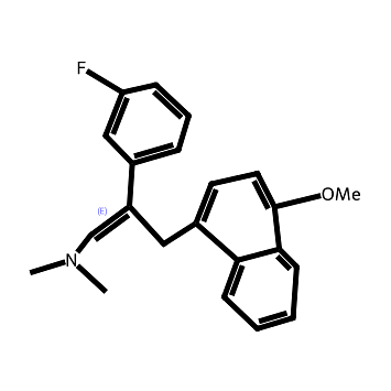 COc1ccc(C/C(=C\N(C)C)c2cccc(F)c2)c2ccccc12